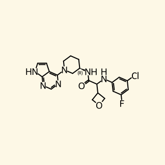 O=C(N[C@@H]1CCCN(c2ncnc3[nH]ccc23)C1)C(Nc1cc(F)cc(Cl)c1)C1COC1